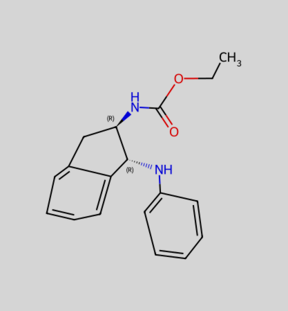 CCOC(=O)N[C@@H]1Cc2ccccc2[C@H]1Nc1ccccc1